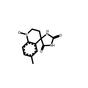 Cc1ccc2c(c1)C1(CC[S+]2[O-])NC(=O)NC1=O